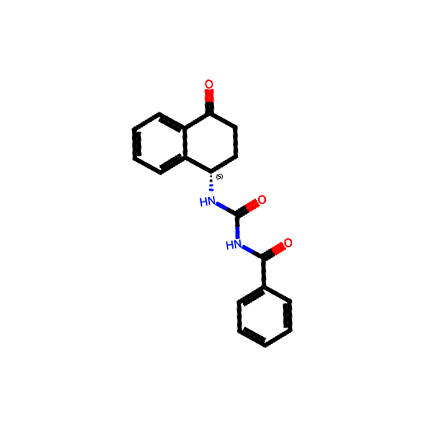 O=C(NC(=O)c1ccccc1)N[C@H]1CCC(=O)c2ccccc21